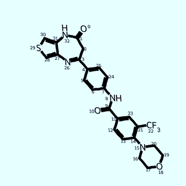 O=C1CC(c2ccc(NC(=O)c3ccc(N4CCOCC4)c(C(F)(F)F)c3)cc2)=Nc2cscc2N1